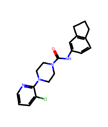 O=C(Nc1ccc2c(c1)CCC2)N1CCN(c2ncccc2Cl)CC1